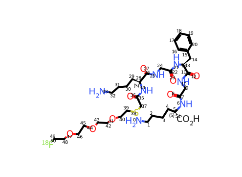 NCCCC[C@H](NC(=O)CNC(=O)[C@H](Cc1ccccc1)NC(=O)CNC(=O)[C@H](CCCCN)NC(=O)CSCCOCCOCCOCC[18F])C(=O)O